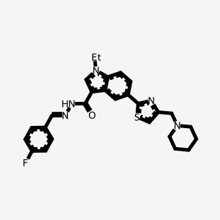 CCn1cc(C(=O)NN=Cc2ccc(F)cc2)c2cc(-c3nc(CN4CCCCC4)cs3)ccc21